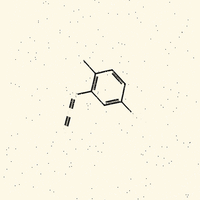 Cc1ccc([N+](=O)[O-])cc1N=C=S